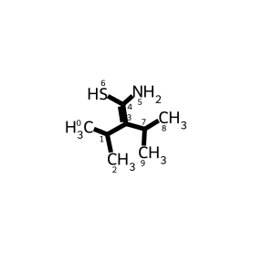 CC(C)C(=C(N)S)C(C)C